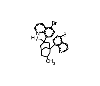 CC1CC2CC(C)(c3ccc(Br)c4cccnc34)CC(c3ccc(Br)c4cccnc34)(C1)C2